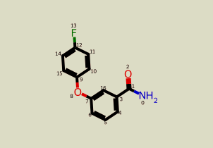 NC(=O)c1cccc(Oc2ccc(F)cc2)c1